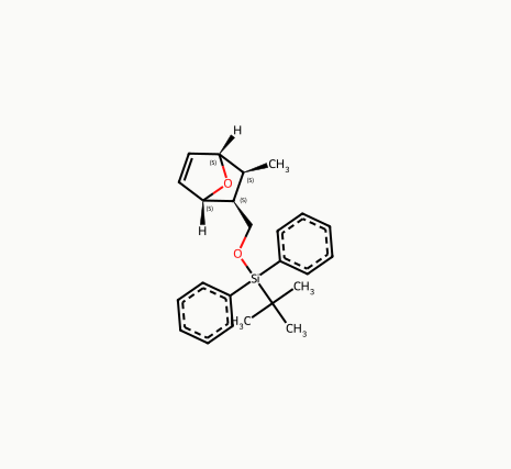 C[C@H]1[C@@H](CO[Si](c2ccccc2)(c2ccccc2)C(C)(C)C)[C@@H]2C=C[C@H]1O2